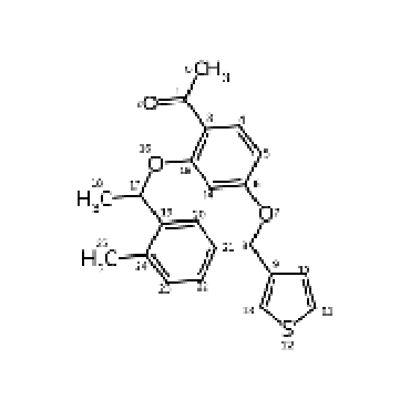 CC(=O)c1ccc(OCc2ccsc2)cc1OC(C)c1ccccc1C